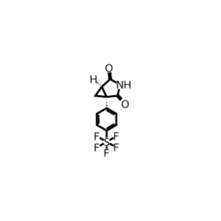 O=C1NC(=O)[C@@]2(c3ccc(S(F)(F)(F)(F)F)cc3)C[C@@H]12